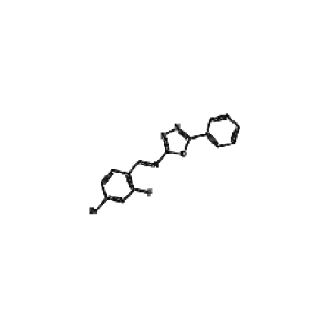 Fc1cc(Br)ccc1C=Nc1nnc(-c2ccccc2)o1